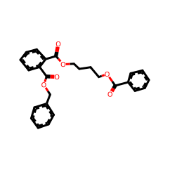 O=C(OCCCCOC(=O)c1ccccc1C(=O)OCc1ccccc1)c1ccccc1